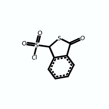 O=C1SC(S(=O)(=O)Cl)c2ccccc21